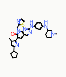 CC1C=C(C2CCCC2)N=C1c1cc2cnc(Nc3ccc(NC4CCCN(C)C4)cc3)nc2n(Cc2nccs2)c1=O